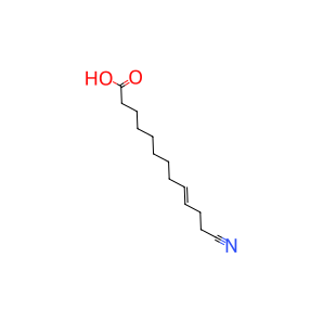 N#CCCC=CCCCCCCCC(=O)O